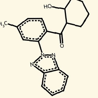 Cc1ccc(C(=O)C2CCCCC2O)c(-n2nc3ccccc3n2)c1